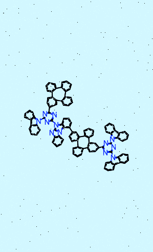 c1ccc2c(c1)-c1ccccc1-c1ccc(-c3nc(-n4c5ccccc5c5ccccc54)nc(-n4c5cccc(-c6ccc7c(c6)-c6ccccc6-c6cc(-c8nc(-n9c%10ccccc%10c%10ccccc%109)nc(-n9c%10ccccc%10c%10ccccc%109)n8)ccc6-c6ccccc6-7)c5n5c6ccccc6nc45)n3)cc1-c1ccccc1-2